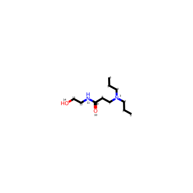 CCCN(CCC)CCC(=O)NCCO